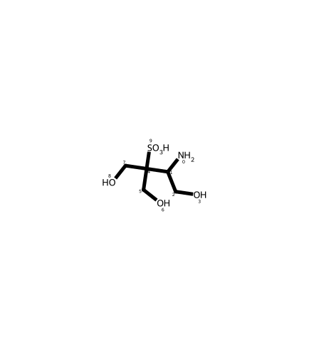 NC(CO)C(CO)(CO)S(=O)(=O)O